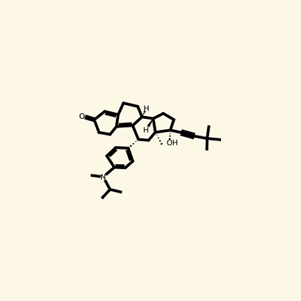 CC(C)N(C)c1ccc([C@H]2C[C@@]3(C)[C@@H](CC[C@@]3(O)C#CC(C)(C)C)[C@@H]3CCC4=CC(=O)CCC4=C32)cc1